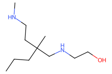 CCCC(C)(CCNC)CNCCO